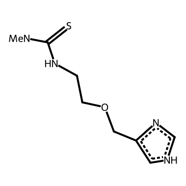 CNC(=S)NCCOCc1c[nH]cn1